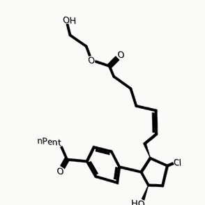 CCCCCC(=O)c1ccc(C2[C@@H](C/C=C\CCCC(=O)OCCO)C(Cl)C[C@H]2O)cc1